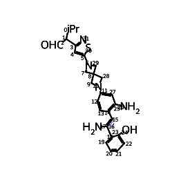 CC(C)C(C=O)c1cc(N2CC3(CN(c4ccc(/C=C(\N)c5ccccc5O)c(N)c4)C3)C2)sn1